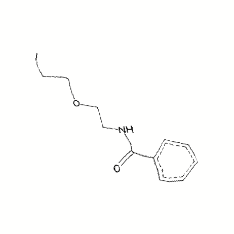 O=C(NCCOCCI)c1ccccc1